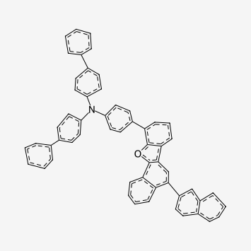 c1ccc(-c2ccc(N(c3ccc(-c4ccccc4)cc3)c3ccc(-c4cccc5c4oc4c6ccccc6c(-c6ccc7ccccc7c6)cc54)cc3)cc2)cc1